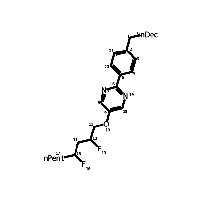 CCCCCCCCCCCc1ccc(-c2ncc(OCC(F)CC(F)CCCCC)cn2)cc1